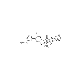 CCCOc1cccc(-c2cc3c(cc2F)C(NC(=O)O[C@H]2CN4CCC2CC4)C(C)(C)C3)c1